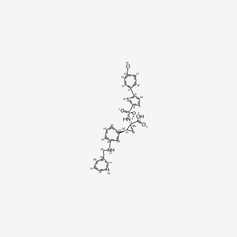 O=C(O)[C@@]1(NS(=O)(=O)c2ccc(-c3ccc(Cl)cc3)s2)C[C@H]1c1cccc(NCc2cccnc2)c1